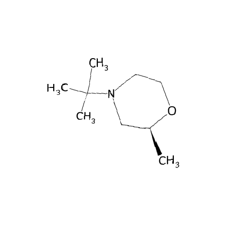 C[C@H]1CN(C(C)(C)C)CCO1